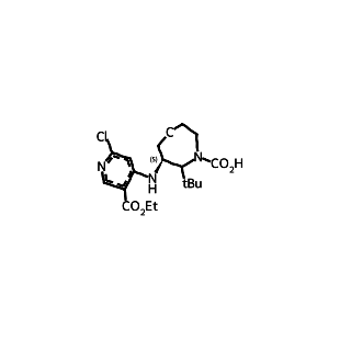 CCOC(=O)c1cnc(Cl)cc1N[C@H]1CCCCN(C(=O)O)C1C(C)(C)C